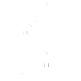 Cc1cc(-c2n[nH]c3cc(NC(=O)NC(C)CO)ncc23)ccn1